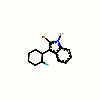 CCn1c(Br)c(C2CCCCC2F)c2ccccc21